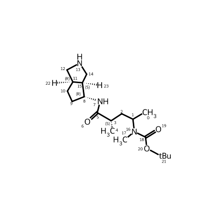 CC(C[C@H](C)C(=O)N[C@@H]1CC[C@H]2CNC[C@H]21)N(C)C(=O)OC(C)(C)C